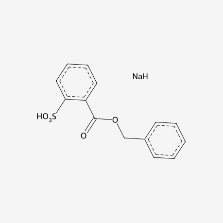 O=C(OCc1ccccc1)c1ccccc1S(=O)(=O)O.[NaH]